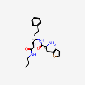 CCCNC(=O)/C=C/[C@H](CCc1ccccc1)NC(=O)[C@@H](N)Cc1cccs1